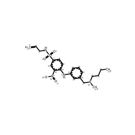 C=CCNS(=O)(=O)c1ccc(Nc2cccc(CN(C)CCCC)c2)c([N+](=O)[O-])c1